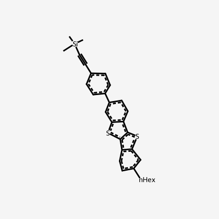 CCCCCCc1ccc2c(c1)sc1c3ccc(-c4ccc(C#C[Si](C)(C)C)cc4)cc3sc21